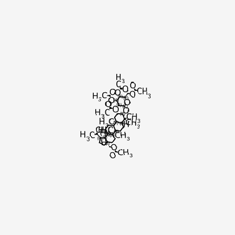 C=C(C)[C@@H]1CC[C@]2(COC(C)=O)CC[C@]3(C)[C@H](CCC4[C@@]5(C)CC[C@@H](O[C@@H]6O[C@H](COC(C)=O)[C@@H](OC(C)=O)[C@H](OC(C)=O)[C@H]6OC(C)=O)C(C)(C)[C@@H]5CC[C@]43C)[C@@H]12